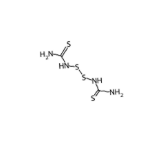 NC(=S)NSSNC(N)=S